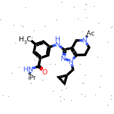 CC(=O)N1CCc2c(c(Nc3cc(C)cc(C(=O)NC(C)C)c3)nn2CC2CC2)C1